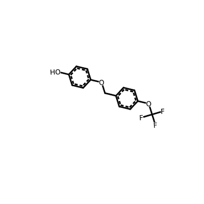 Oc1ccc(OCc2ccc(OC(F)(F)F)cc2)cc1